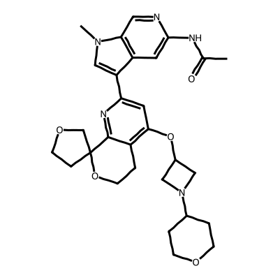 CC(=O)Nc1cc2c(-c3cc(OC4CN(C5CCOCC5)C4)c4c(n3)C3(CCOC3)OCC4)cn(C)c2cn1